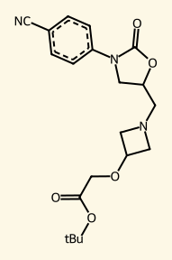 CC(C)(C)OC(=O)COC1CN(CC2CN(c3ccc(C#N)cc3)C(=O)O2)C1